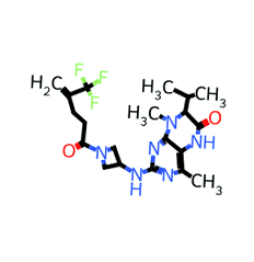 C=C(CCC(=O)N1CC(Nc2nc(C)c3c(n2)N(C)C(C(C)C)C(=O)N3)C1)C(F)(F)F